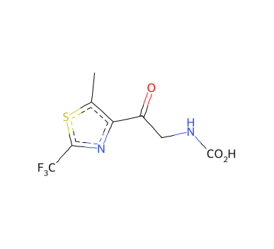 Cc1sc(C(F)(F)F)nc1C(=O)CNC(=O)O